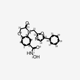 O=C(NO)c1ccc2c(c1)N(Cc1ncc(-c3ccccc3)o1)C(=O)CO2